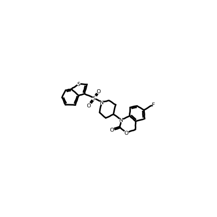 O=C1OCc2cc(F)ccc2N1C1CCN(S(=O)(=O)c2csc3ccccc23)CC1